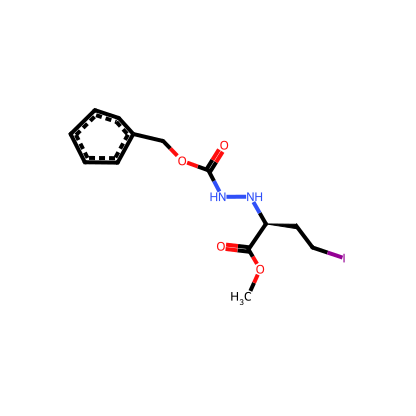 COC(=O)[C@H](CCI)NNC(=O)OCc1ccccc1